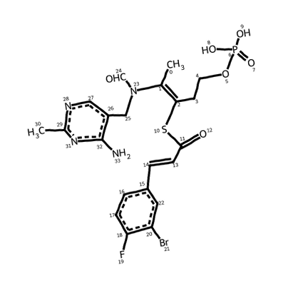 C/C(=C(\CCOP(=O)(O)O)SC(=O)/C=C/c1ccc(F)c(Br)c1)N(C=O)Cc1cnc(C)nc1N